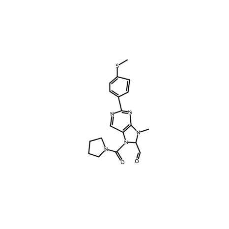 CSc1ccc(-c2ncc3c(n2)N(C)C(C=O)N3C(=O)N2CCCC2)cc1